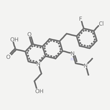 CN(C)/C=N/c1cc2c(cc1Cc1cccc(Cl)c1F)c(=O)c(C(=O)O)cn2CCO